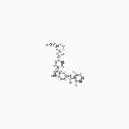 CCOC(=O)N1CCCC2(C1)CN(c1ccc(-c3n[nH]c4ccc(O[C@H](C)c5c(C)cnnc5C)cc34)cn1)C2